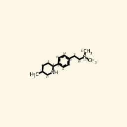 CC1CCC(c2ccc(CCN(C)C)cc2)NC1